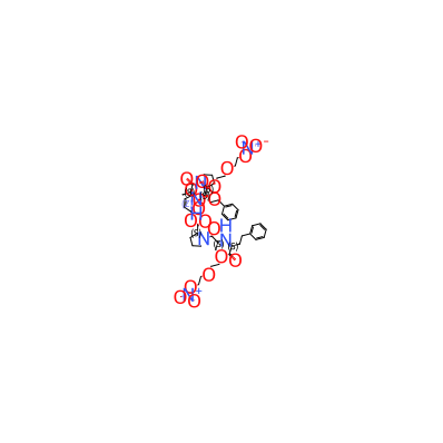 C[C@H](N[C@@H](CCc1ccccc1)C(=O)OCCOCCO[N+](=O)[O-])C(=O)N1CCC[C@H]1C(=O)OC(=O)/C=C\C(=O)OC(=O)[C@@H]1CCCN1C(=O)[C@H](C)N[C@@H](CCc1ccccc1)C(=O)OCCOCCO[N+](=O)[O-]